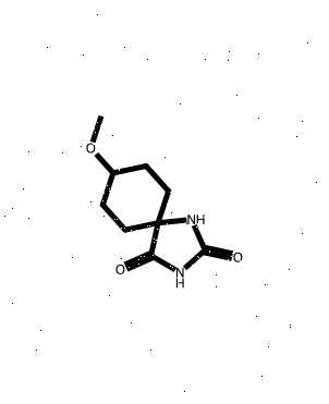 COC1CCC2(CC1)NC(=O)NC2=O